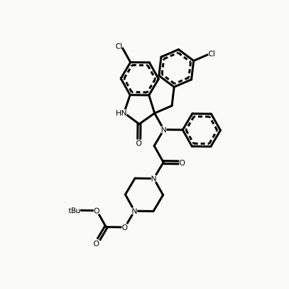 CC(C)(C)OC(=O)ON1CCN(C(=O)CN(c2ccccc2)C2(Cc3cccc(Cl)c3)C(=O)Nc3cc(Cl)ccc32)CC1